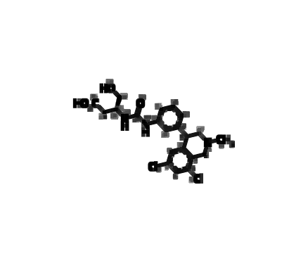 CN1Cc2c(Cl)cc(Cl)cc2C(c2cccc(NC(=O)N[C@H](CO)CC(=O)O)c2)C1